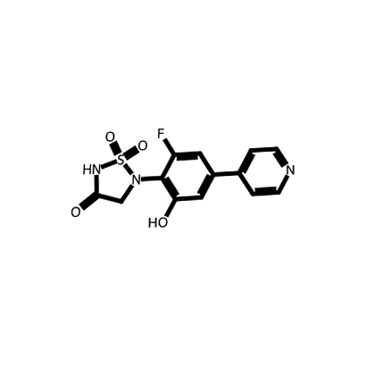 O=C1CN(c2c(O)cc(-c3ccncc3)cc2F)S(=O)(=O)N1